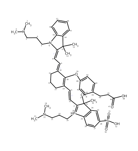 CN(C)CCCN1/C(=C/C=C2\CCCC(/C=C/C3=[PH](CCCN(C)C)c4ccc(S(=O)(=O)O)cc4C3(C)C)=C2Oc2ccc(CCC(=O)O)cc2)C(C)(C)c2ccccc21